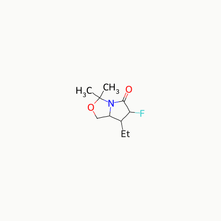 CCC1C(F)C(=O)N2C1COC2(C)C